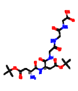 CC(C)(C)OC(=O)C[C@@H](N)C(=O)N[C@H](CC(=O)OC(C)(C)C)C(=O)NCC(=O)NCC(=O)NCC(=O)O